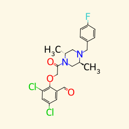 C[C@@H]1CN(Cc2ccc(F)cc2)[C@@H](C)CN1C(=O)COc1c(Cl)cc(Cl)cc1C=O